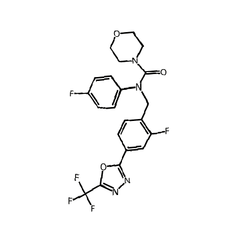 O=C(N1CCOCC1)N(Cc1ccc(-c2nnc(C(F)(F)F)o2)cc1F)c1ccc(F)cc1